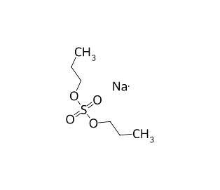 CCCOS(=O)(=O)OCCC.[Na]